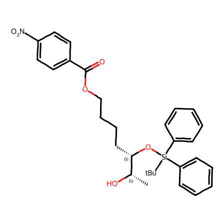 C[C@H](O)[C@H](CCCCOC(=O)c1ccc([N+](=O)[O-])cc1)O[Si](c1ccccc1)(c1ccccc1)C(C)(C)C